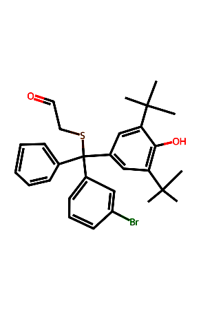 CC(C)(C)c1cc(C(SCC=O)(c2ccccc2)c2cccc(Br)c2)cc(C(C)(C)C)c1O